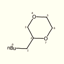 [CH2]CCCCC1COCCO1